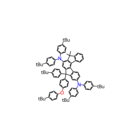 CC(C)(C)c1ccc(Oc2ccc(C3(c4ccc(C(C)(C)C)cc4)c4cc(N(c5ccc(C(C)(C)C)cc5)c5ccc(C(C)(C)C)cc5)ccc4-c4c3cc(N(c3ccc(C(C)(C)C)cc3)c3ccc(C(C)(C)C)cc3)c3c4-c4ccccc4C3(C)C)cc2)cc1